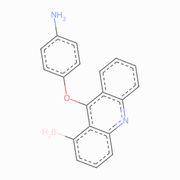 Bc1cccc2nc3ccccc3c(Oc3ccc(N)cc3)c12